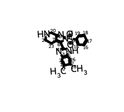 Cc1cc2nc(-c3c4c(nn3S(=O)(=O)c3ccccc3)CNCC4)[nH]c2cc1C